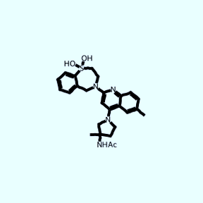 CC(=O)NC1(C)CCN(c2cc(N3CCS(O)(O)c4ccccc4C3)nc3ccc(C)cc23)C1